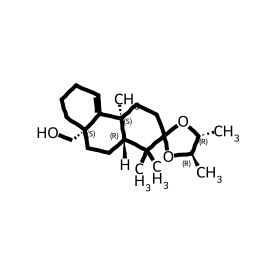 C[C@H]1OC2(CC[C@]3(C)C4=CCCC[C@]4(CO)CC[C@H]3C2(C)C)O[C@@H]1C